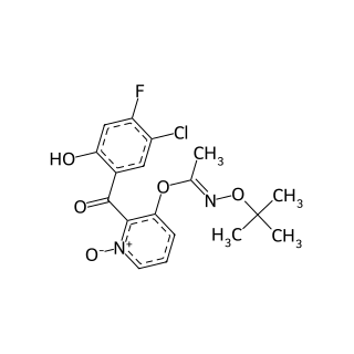 CC(=NOC(C)(C)C)Oc1ccc[n+]([O-])c1C(=O)c1cc(Cl)c(F)cc1O